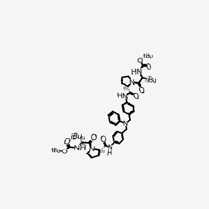 CC[C@H](C)C(NC(=O)OC(C)(C)C)C(=O)N1CCC[C@H]1C(=O)Nc1ccc(CN(Cc2ccc(NC(=O)[C@@H]3CCCN3C(=O)[C@@H](NC(=O)OC(C)(C)C)[C@@H](C)CC)cc2)c2ccccc2)cc1